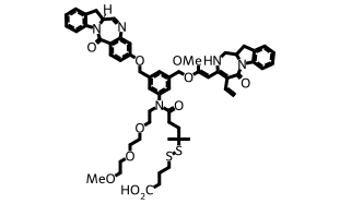 C=CC1=C(/C=C(\OC)OCc2cc(COc3ccc4c(c3)N=C[C@@H]3Cc5ccccc5N3C4=O)cc(N(CCOCCOCCOC)C(=O)CCC(C)(C)SSCCCC(=O)O)c2)NCC2Cc3ccccc3N2C1=O